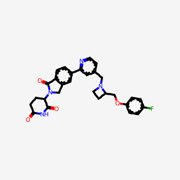 O=C1CCC(N2Cc3cc(-c4cc(CN5CCC5COc5ccc(F)cc5)ccn4)ccc3C2=O)C(=O)N1